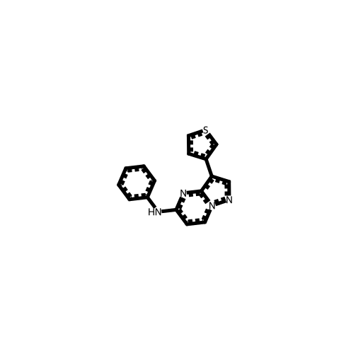 c1ccc(Nc2ccn3ncc(-c4ccsc4)c3n2)cc1